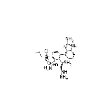 CCCS(=O)(=O)c1ccc(-c2cccc3[nH]c(N)nc23)c(/C(N)=N/NN)c1S(N)(=O)=O